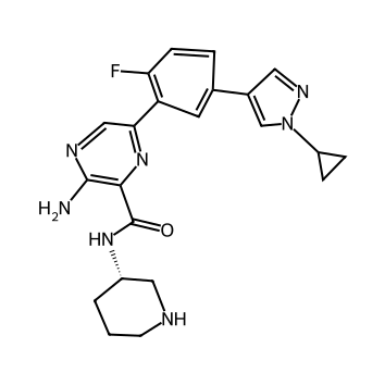 Nc1ncc(-c2cc(-c3cnn(C4CC4)c3)ccc2F)nc1C(=O)N[C@H]1CCCNC1